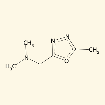 Cc1nnc(CN(C)C)o1